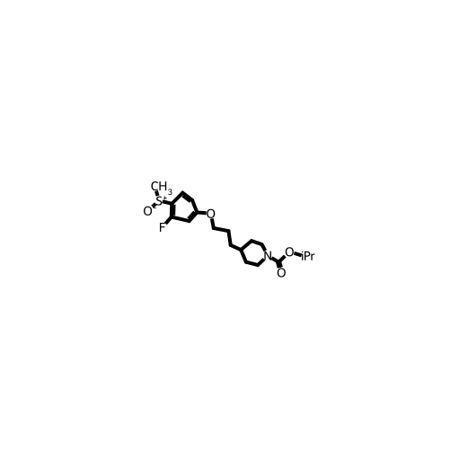 CC(C)OC(=O)N1CCC(CCCOc2ccc([S+](C)[O-])c(F)c2)CC1